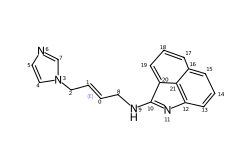 C(=C\Cn1ccnc1)/CNC1=Nc2cccc3cccc1c23